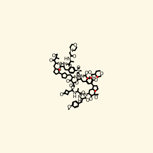 COc1ccc(CC(NC(=O)C(C)NC(=O)C2CC(=O)C2)C(=O)NC(CC2CCCC2c2cc(CC(NC(=O)C(C)NC(=O)C3CCOCC3)C(=O)NC(CC3CCC(C4CCC(CC(NC(=O)C(Cc5ccc(S(C)(=O)=O)cc5)NC(=O)C(C)NC(=O)CN5CCOCC5)C(=O)C5(C)CO5)C4)C3)C(=O)C3(C)CO3)ccc2OC)C(=O)C2(C)CO2)cc1